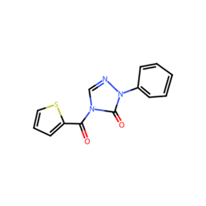 O=C(c1cccs1)n1cnn(-c2ccccc2)c1=O